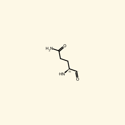 [NH][C@H]([C]=O)CCC(N)=O